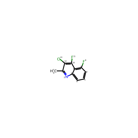 Cc1nc2cccc(F)c2c(F)c1Cl